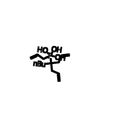 C=CCC(CC=C)(CCCC)P(O)(O)(O)CC=C